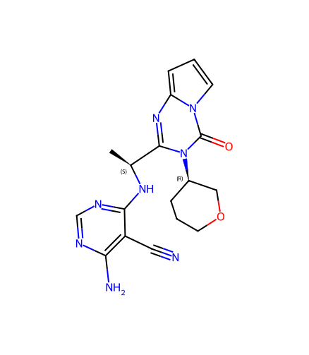 C[C@H](Nc1ncnc(N)c1C#N)c1nc2cccn2c(=O)n1[C@@H]1CCCOC1